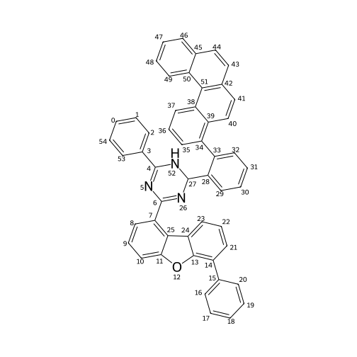 c1ccc(C2=NC(c3cccc4oc5c(-c6ccccc6)cccc5c34)=NC(c3ccccc3-c3cccc4c3ccc3ccc5ccccc5c34)N2)cc1